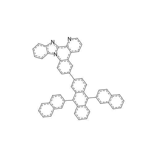 c1ccc2cc(-c3c4ccccc4c(-c4ccc5ccccc5c4)c4cc(-c5ccc6c(c5)c5cccnc5c5nc7ccccc7n65)ccc34)ccc2c1